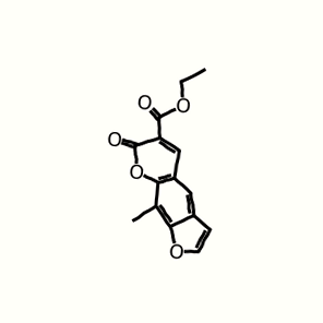 CCOC(=O)c1cc2cc3ccoc3c(C)c2oc1=O